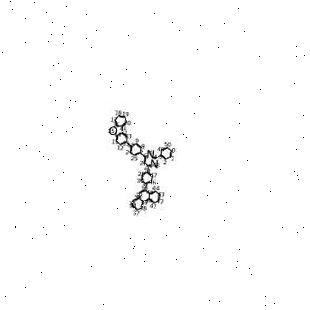 c1ccc(-c2nc(-c3ccc(-c4ccc5oc6ccccc6c5c4)cc3)cc(-c3ccc(-c4cc5ccccc5c5ccccc45)cc3)n2)cc1